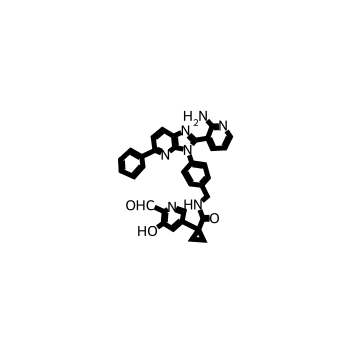 Nc1ncccc1-c1nc2ccc(-c3ccccc3)nc2n1-c1ccc(CNC(=O)C2(c3cnc(C=O)c(O)c3)CC2)cc1